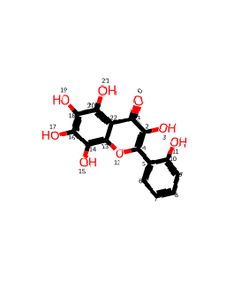 O=c1c(O)c(-c2ccccc2O)oc2c(O)c(O)c(O)c(O)c12